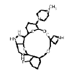 CN1CCN(C2CCC3CC2OCC2(CNC2)COCC2CCCC(F)C2C2CC4C(CN2)NNC34)CC1